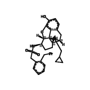 CC(C)Cc1ccccc1CS(=O)(=O)N[C@@H]1CC[C@@]2(O)[C@H]3Cc4ccc(O)c5c4[C@@]2(CCN3CC2CC2)[C@H]1O5